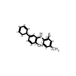 Cc1ccc(Pc2cc(C3C=CC=CC3)ccc2O)c(F)c1